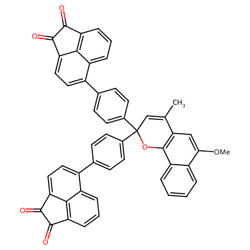 COc1cc2c(c3ccccc13)OC(c1ccc(-c3ccc4c5c(cccc35)C(=O)C4=O)cc1)(c1ccc(-c3ccc4c5c(cccc35)C(=O)C4=O)cc1)C=C2C